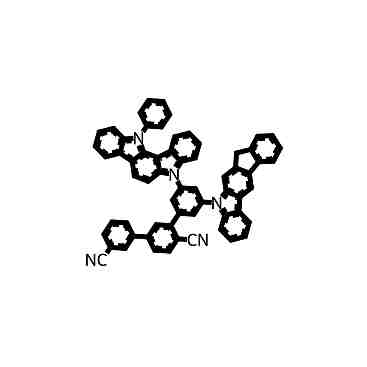 N#Cc1cccc(-c2ccc(C#N)c(-c3cc(-n4c5ccccc5c5cc6c(cc54)Cc4ccccc4-6)cc(-n4c5ccccc5c5c4ccc4c6ccccc6n(-c6ccccc6)c45)c3)c2)c1